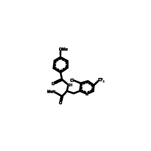 CNC(=O)C(Cc1ncc(C(F)(F)F)cc1Cl)NC(=O)c1ccc(OC)cc1